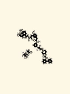 COc1ccc(CC(=O)Nc2cccc(N(C)C(=O)CCN3CCC(OC(=O)Nc4ccccc4-c4ccccc4)CC3)c2)cc1CC(C)NC[C@H](O)c1ccc(O)c2[nH]c(=O)ccc12.O=C(O)C(F)(F)F.O=C(O)C(F)(F)F